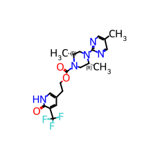 Cc1cnc(N2C[C@@H](C)N(C(=O)OCCc3c[nH]c(=O)c(C(F)(F)F)c3)C[C@H]2C)nc1